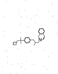 CC(Cc1ccc(C(C)(C)CCl)cc1)CN1C=Cc2ccccc2C1